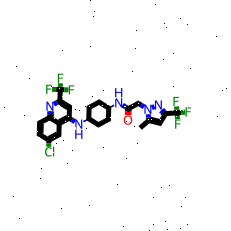 Cc1cc(C(F)(F)F)nn1CC(=O)N[C@H]1CC[C@@H](Nc2cc(C(F)(F)F)nc3ccc(Cl)cc23)CC1